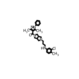 Cc1ccc(NCCCN2CC3CN(C(=O)c4c(C)nn(-c5ccccc5)c4C)CC3C2)cc1Cl